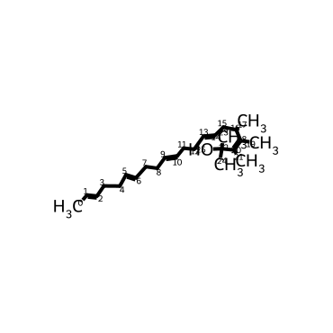 CC=CCCC=CCCC=CCCC=CCC(C)C(C)=C(C)C(C)(C)O